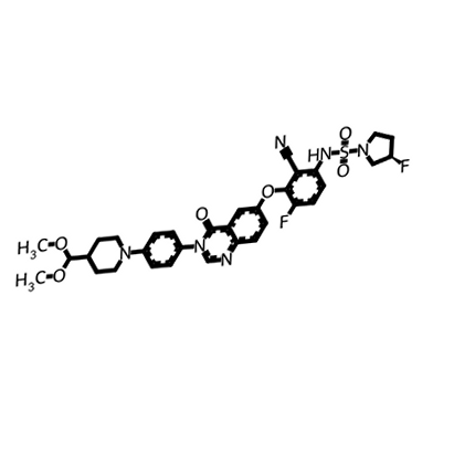 COC(OC)C1CCN(c2ccc(-n3cnc4ccc(Oc5c(F)ccc(NS(=O)(=O)N6CC[C@@H](F)C6)c5C#N)cc4c3=O)cc2)CC1